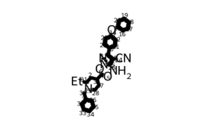 CCC1CC(C(=O)On2nc(-c3ccc(Oc4ccccc4)cc3)c(C#N)c2N)CCN1Cc1ccccc1